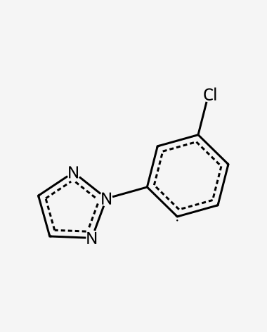 Clc1cc[c]c(-n2nccn2)c1